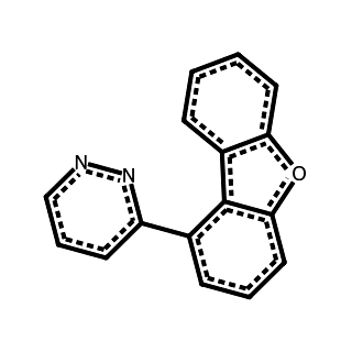 c1cnnc(-c2cccc3oc4ccccc4c23)c1